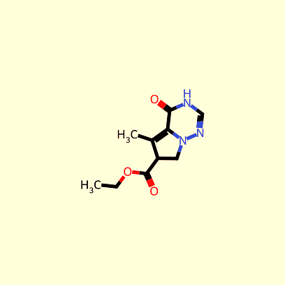 CCOC(=O)C1CN2N=CNC(=O)C2=C1C